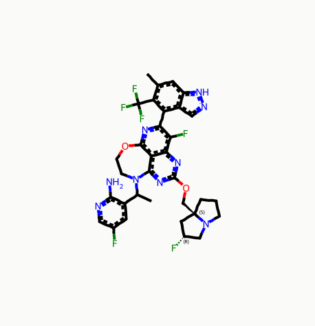 Cc1cc2[nH]ncc2c(-c2nc3c4c(nc(OC[C@@]56CCCN5C[C@H](F)C6)nc4c2F)N(C(C)c2cc(F)cnc2N)CCO3)c1C(F)(F)F